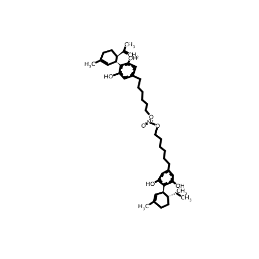 C=C(C)[C@@H]1CCC(C)=C[C@H]1c1c(O)cc(CCCCCCO[N+](=O)OCCCCCCc2cc(O)c([C@@H]3C=C(C)CC[C@H]3C(=C)C)c(O)c2)cc1O